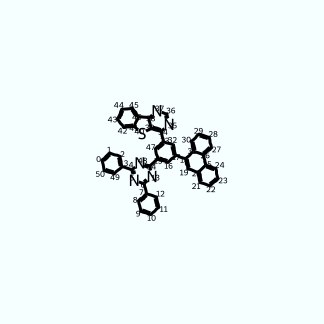 c1ccc(-c2nc(-c3ccccc3)nc(-c3cc(-c4cc5ccccc5c5ccccc45)cc(-c4ncnc5c4sc4ccccc45)c3)n2)cc1